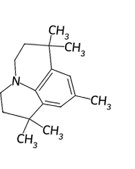 Cc1cc2c3c(c1)C(C)(C)CCN3CCC2(C)C